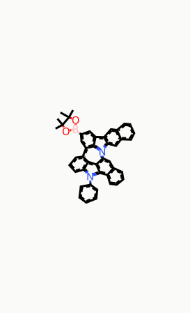 CC1(C)OB(c2cc3c4cccc5c4c4c(c6ccccc6cc4n4c6cc7ccccc7cc6c(c2)c34)n5-c2ccccc2)OC1(C)C